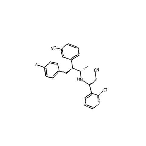 C[C@H](NC(CC#N)c1ccccc1Cl)[C@@H](Cc1ccc(I)cc1)c1cccc(C#N)c1